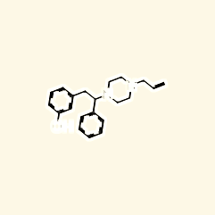 C=CCN1CCN(C(Cc2cccc(O)c2)c2ccccc2)CC1